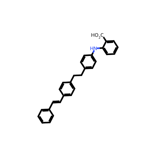 O=C(O)c1ccccc1Nc1ccc(CCc2ccc(C=Cc3ccccc3)cc2)cc1